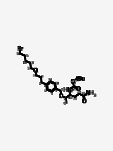 C[C@@H](OCc1ccc(CCCOCCCCCBr)cc1)[C@H](CCC(N)=O)NC(=O)OC(C)(C)C